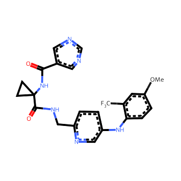 COc1ccc(Nc2ccc(CNC(=O)C3(NC(=O)c4cncnc4)CC3)nc2)c(C(F)(F)F)c1